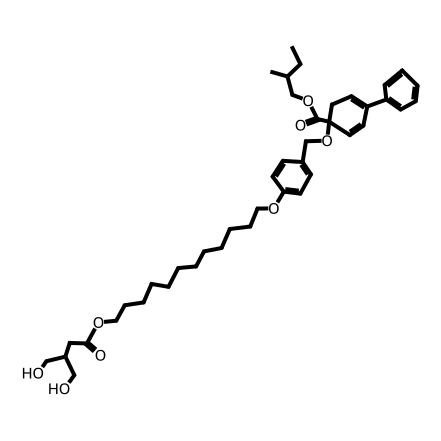 CCC(C)COC(=O)C1(OCc2ccc(OCCCCCCCCCCCCOC(=O)CC(CO)CO)cc2)C=CC(c2ccccc2)=CC1